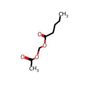 CCCCC(=O)OCOC(C)=O